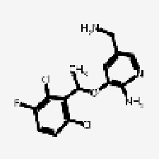 CC(Oc1cc(CN)cnc1N)c1c(Cl)ccc(F)c1Cl